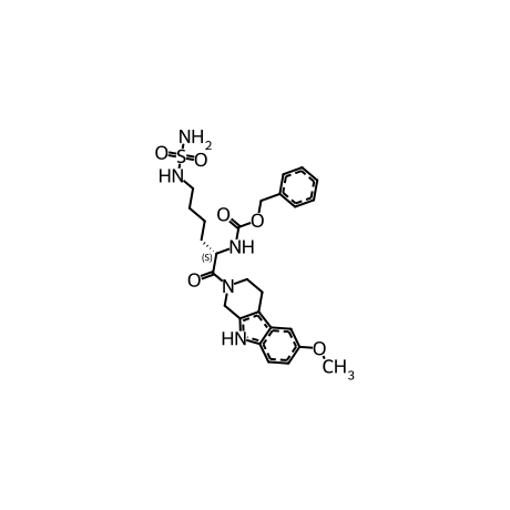 COc1ccc2[nH]c3c(c2c1)CCN(C(=O)[C@H](CCCCNS(N)(=O)=O)NC(=O)OCc1ccccc1)C3